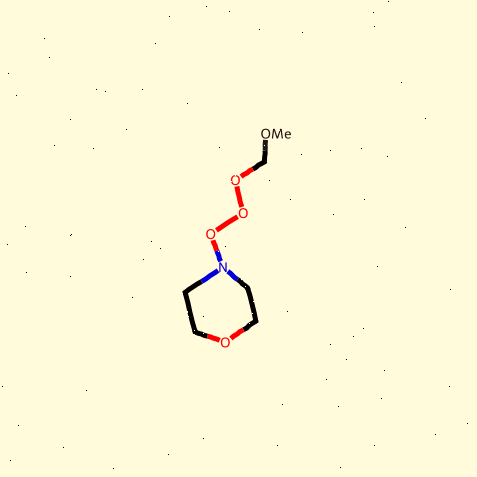 COCOOON1CCOCC1